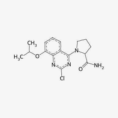 CC(C)Oc1cccc2c(N3CCCC3C(N)=O)nc(Cl)nc12